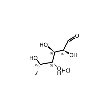 C[C@H](O)[C@@H](O)[C@@H](O)[C@H](O)C=O.Cl